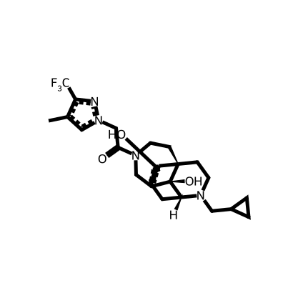 Cc1cn(CC(=O)N2CC[C@]34CCN(CC5CC5)[C@H](Cc5ccc(O)cc53)[C@]4(O)CC2)nc1C(F)(F)F